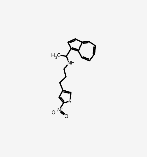 CC(NCCCc1csc([N+](=O)[O-])c1)c1ccc2cccccc1-2